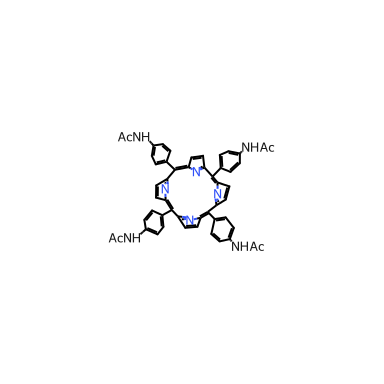 CC(=O)Nc1ccc(C2=C3C=CC(=N3)C(c3ccc(NC(C)=O)cc3)=C3C=CC(=N3)C(c3ccc(NC(C)=O)cc3)=C3C=CC(=N3)C(c3ccc(NC(C)=O)cc3)=C3C=CC2=N3)cc1